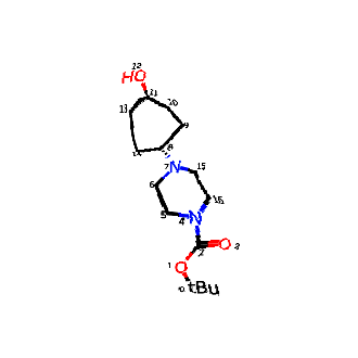 CC(C)(C)OC(=O)N1CCN([C@H]2CC[C@H](O)CC2)CC1